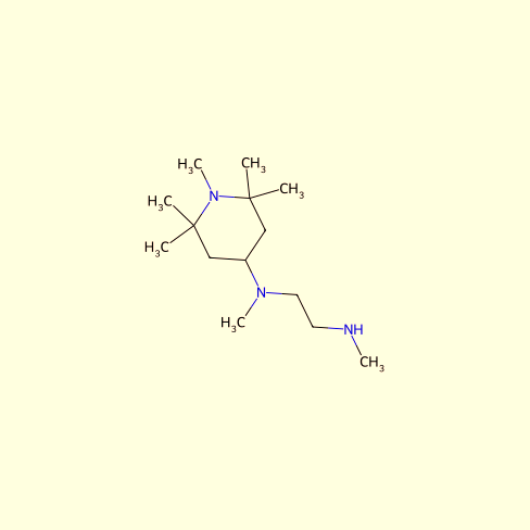 CNCCN(C)C1CC(C)(C)N(C)C(C)(C)C1